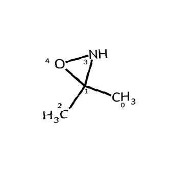 CC1(C)NO1